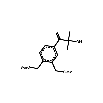 COCc1ccc(C(=O)C(C)(C)O)cc1COC